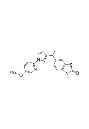 C#COc1ccc(-n2ccc(C(C)c3ccc4[nH]c(=O)sc4c3)n2)nc1